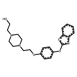 OCCN1CCN(CCOc2ccc(Oc3nc4ccccc4s3)cc2)CC1